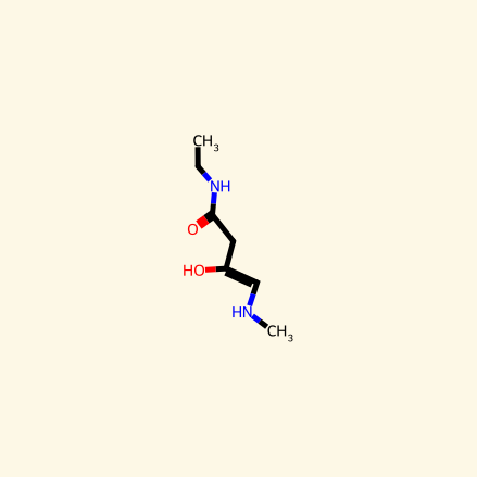 CCNC(=O)C/C(O)=C/NC